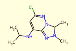 CC(C)NC1=CC(Cl)=NN2C1=NN(C)C2C